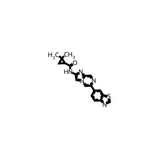 CC1(C)CC1C(=O)Nc1cn2cc(-c3ccc4ncsc4c3)ncc2n1